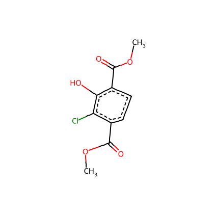 COC(=O)c1ccc(C(=O)OC)c(Cl)c1O